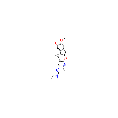 CCN(C)/C=N/c1cc(C2CC2)c(OC2Cc3cc(OC)c(OC)cc3C2)nc1C